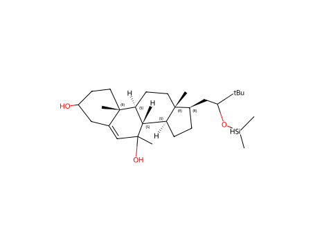 C[SiH](C)OC(C[C@H]1CC[C@H]2[C@H]3[C@H](CC[C@]12C)[C@@]1(C)CCC(O)CC1=CC3(C)O)C(C)(C)C